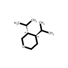 CC(C)[C@H]1CCOC[C@@H]1C(C)C